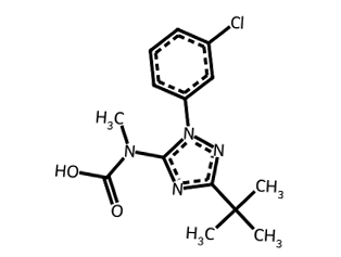 CN(C(=O)O)c1nc(C(C)(C)C)nn1-c1cccc(Cl)c1